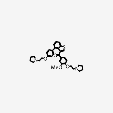 COc1cc(C(=O)c2csc3cccc(-c4ccc(OCCN5CCCC5)cc4)c23)ccc1OCCN1CCCC1